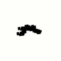 CC[C@@H](CO)NC(=O)c1cc2c(Oc3ccc(NC(=S)NC(=O)Cc4cccc(F)c4)cc3F)ccnc2cc1OC